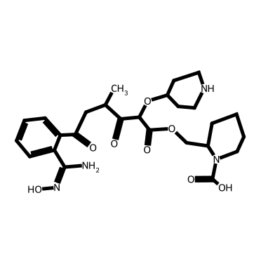 CC(CC(=O)c1ccccc1/C(N)=N\O)C(=O)C(OC1CCNCC1)C(=O)OCC1CCCCN1C(=O)O